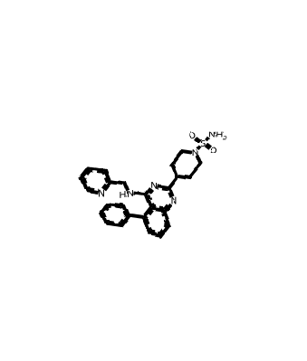 NS(=O)(=O)N1CCC(c2nc(NCc3ccccn3)c3c(-c4ccccc4)cccc3n2)CC1